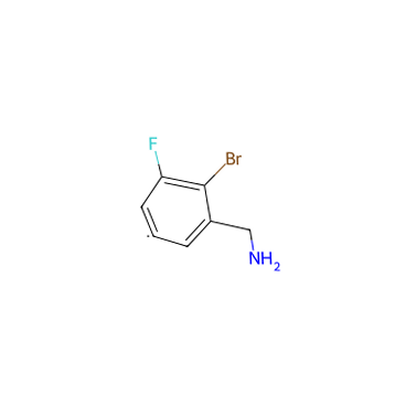 NCc1c[c]cc(F)c1Br